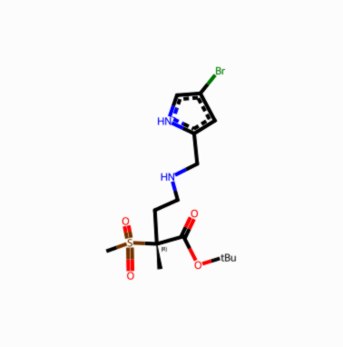 CC(C)(C)OC(=O)[C@@](C)(CCNCc1cc(Br)c[nH]1)S(C)(=O)=O